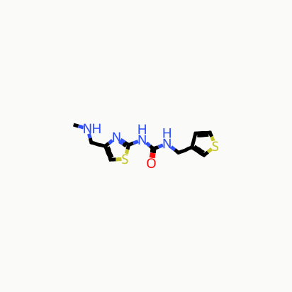 CNCc1csc(NC(=O)NCc2ccsc2)n1